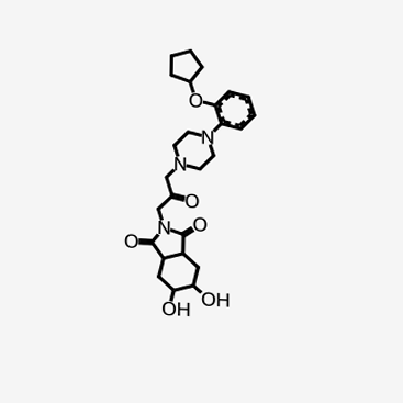 O=C(CN1CCN(c2ccccc2OC2CCCC2)CC1)CN1C(=O)C2CC(O)C(O)CC2C1=O